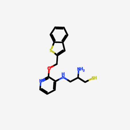 NC(CS)CNc1cccnc1OCc1cc2ccccc2s1